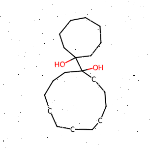 OC1(C2(O)CCCCCCC2)CCCCCCCCCCC1